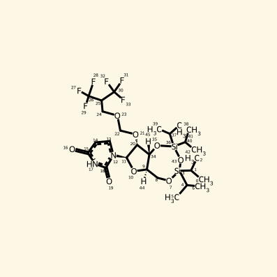 CC(C)[Si]1(C(C)C)OC[C@H]2O[C@@H](n3ccc(=O)[nH]c3=O)[C@H](OCOCC(C(F)(F)F)C(F)(F)F)[C@@H]2O[Si](C(C)C)(C(C)C)O1